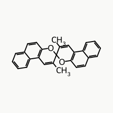 CC1=Cc2c(ccc3ccccc23)OC12Oc1ccc3ccccc3c1C=C2C